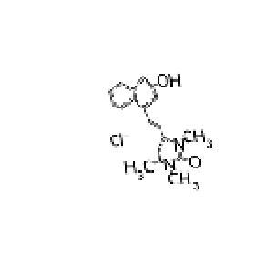 Cc1cc(C=Cc2cc(O)cc3ccccc23)[n+](C)c(=O)n1C.[Cl-]